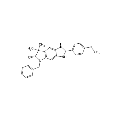 COc1ccc(C2Nc3cc4c(cc3N2)C(C)(C)C(=O)N4Cc2ccccc2)cc1